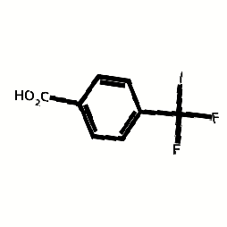 O=C(O)c1ccc(C(F)(F)I)cc1